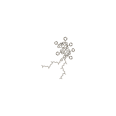 CC(C)CCCC(C)CCCC(C)CCCC(C)CCOCC(CO[C@@H]1OC(COC(=O)c2ccccc2)[C@@H](O[C@@H]2OC3COC(c4ccccc4)O[C@@H]3C(OC(=O)c3ccccc3)[C@@H]2OC(=O)c2ccccc2)C(OC(=O)c2ccccc2)[C@@H]1OC(=O)c1ccccc1)OCCC(C)CCCC(C)CCCC(C)CCCC(C)C